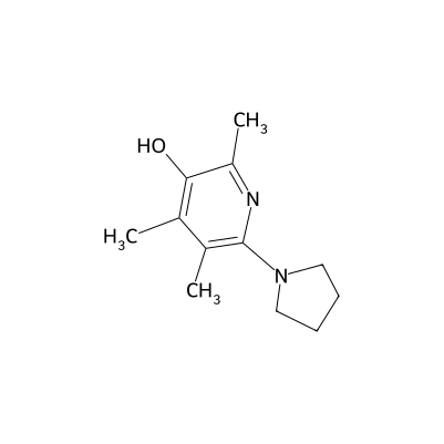 Cc1nc(N2CCCC2)c(C)c(C)c1O